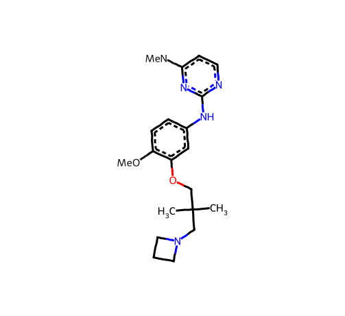 CNc1ccnc(Nc2ccc(OC)c(OCC(C)(C)CN3CCC3)c2)n1